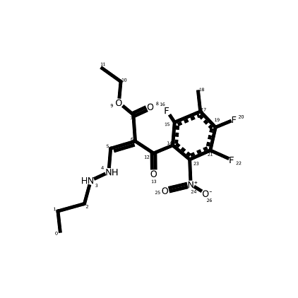 CCCNN/C=C(/C(=O)OCC)C(=O)c1c(F)c(C)c(F)c(F)c1[N+](=O)[O-]